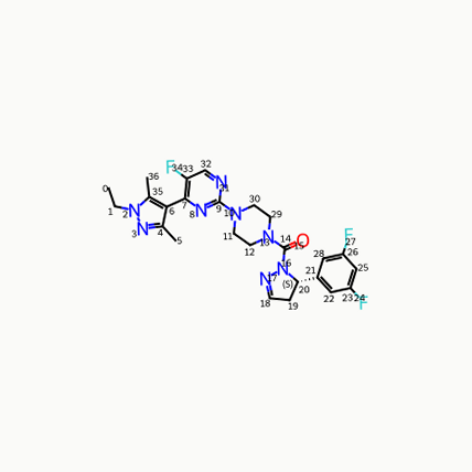 CCn1nc(C)c(-c2nc(N3CCN(C(=O)N4N=CC[C@H]4c4cc(F)cc(F)c4)CC3)ncc2F)c1C